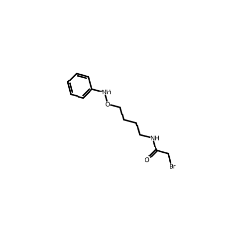 O=C(CBr)NCCCCONc1ccccc1